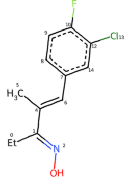 CCC(=NO)/C(C)=C/c1ccc(F)c(Cl)c1